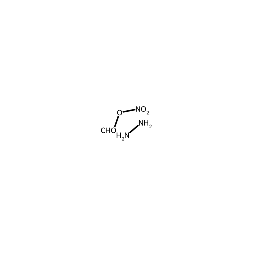 NN.O=CO[N+](=O)[O-]